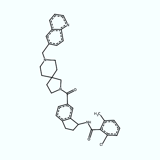 Cc1cccc(Cl)c1C(=O)NC1CCc2ccc(C(=O)N3CCC4(CCN(Cc5ccc6ncccc6c5)CC4)C3)cc21